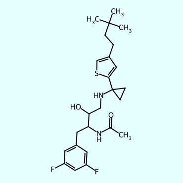 CC(=O)NC(Cc1cc(F)cc(F)c1)C(O)CNC1(c2cc(CCC(C)(C)C)cs2)CC1